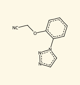 N#CCOc1ccccc1-n1ccnn1